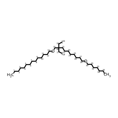 CCCCCCCCCCCCCCOCC(CI)(CI)CCCCCCCCOCCCCCCC